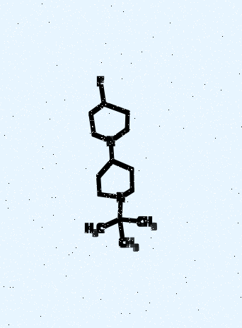 CC(C)(C)N1CCC(N2CCC(F)CC2)CC1